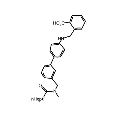 CCCCCCCC(=O)N(C)Cc1cccc(-c2ccc(NCc3ccccc3C(=O)O)cc2)c1